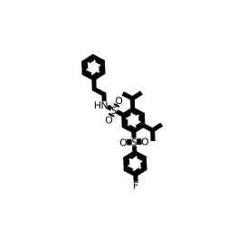 CC(C)c1cc(C(C)C)c(S(=O)(=O)c2ccc(F)cc2)cc1S(=O)(=O)NCCc1ccccc1